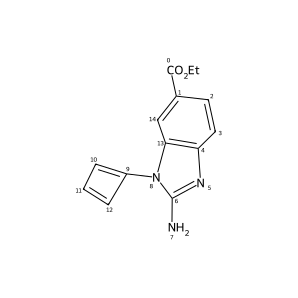 CCOC(=O)c1ccc2nc(N)n(C3=CC=C3)c2c1